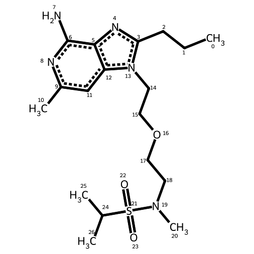 CCCc1nc2c(N)nc(C)cc2n1CCOCCN(C)S(=O)(=O)C(C)C